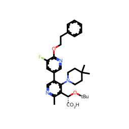 Cc1ncc(-c2cnc(OCCc3ccccc3)c(F)c2)c(N2CCC(C)(C)CC2)c1[C@H](OC(C)(C)C)C(=O)O